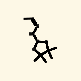 C/C=N\NB1OC(C)(C)C(C)(C)O1